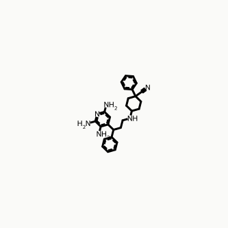 N#CC1(c2ccccc2)CCC(NCCC(c2ccccc2)c2cc(N)nc(N)c2N)CC1